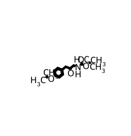 CC(C)Oc1ccc(CC(=O)CNC(=O)OC(C)(C)C)cc1